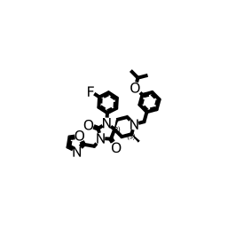 CC(C)Oc1cccc(CN2CC[C@@]3(C[C@@H]2C)C(=O)N(Cc2ncco2)C(=O)N3c2cccc(F)c2)c1